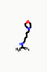 CC(C)NCCCCCN1CCOCC1